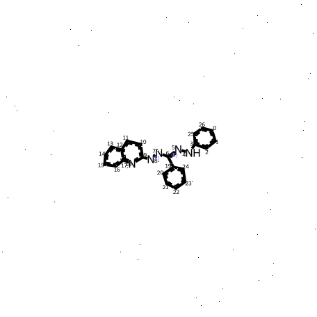 c1ccc(N/N=C(/N=N/c2ccc3ccccc3n2)c2ccccc2)cc1